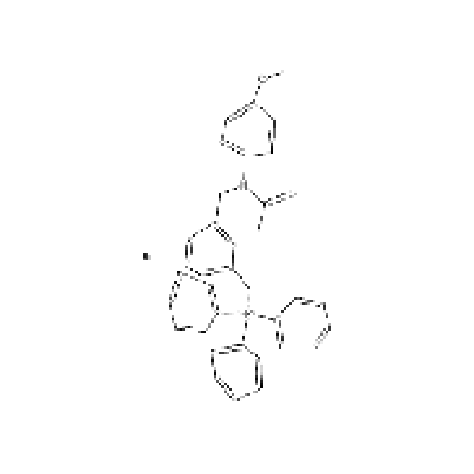 COc1ccc(N(Cc2cccc(C[P+](c3ccccc3)(c3ccccc3)c3ccccc3)c2)C(C)=O)cc1.[Br-]